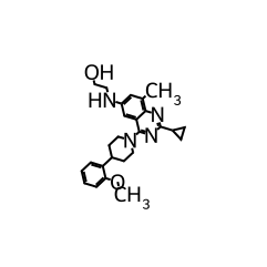 COc1ccccc1C1CCN(c2nc(C3CC3)nc3c(C)cc(NCCO)cc23)CC1